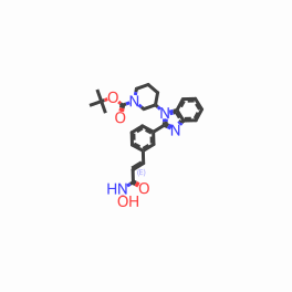 CC(C)(C)OC(=O)N1CCCC(n2c(-c3cccc(/C=C/C(=O)NO)c3)nc3ccccc32)C1